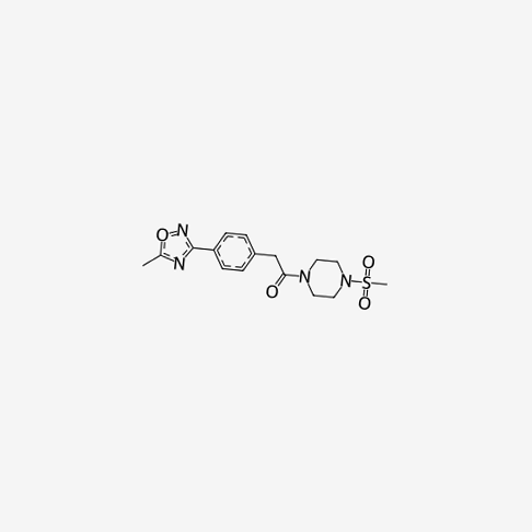 Cc1nc(-c2ccc(CC(=O)N3CCN(S(C)(=O)=O)CC3)cc2)no1